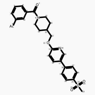 CC(=O)c1cccc(C(=O)N2CCC(COc3ccc(-c4ccc(S(C)(=O)=O)cc4)cn3)CC2)c1